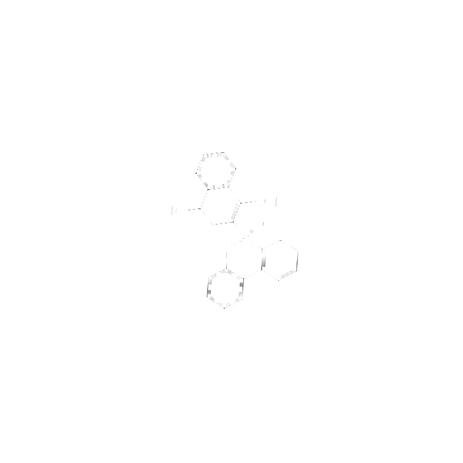 O=P1(C2=C(O)c3ccccc3C(O)C2)Oc2ccccc2C2=C1CCC=C2